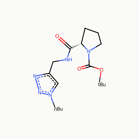 CCCCn1cc(CNC(=O)[C@@H]2CCCN2C(=O)OC(C)(C)C)nn1